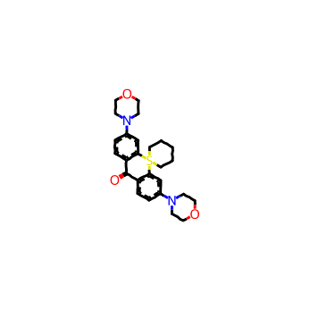 O=C1c2ccc(N3CCOCC3)cc2S2(CCCCC2)c2cc(N3CCOCC3)ccc21